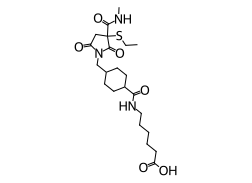 CCSC1(C(=O)NC)CC(=O)N(CC2CCC(C(=O)NCCCCCC(=O)O)CC2)C1=O